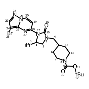 CC(C)C1CN(CC2CCN(C(=O)OC(C)(C)C)CC2)C(=O)N1c1ccn2ncc(Br)c2n1